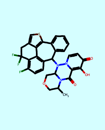 CC1COCC2N1C(=O)c1c(O)c(=O)ccn1N2C1c2ccccc2-c2scc3c2-c2c1ccc(F)c2C(F)(F)C3